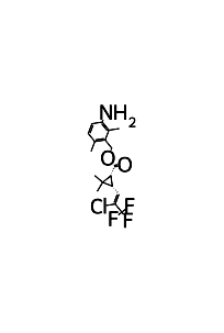 Cc1ccc(N)c(C)c1COC(=O)[C@@H]1[C@H](C=C(Cl)C(F)(F)F)C1(C)C